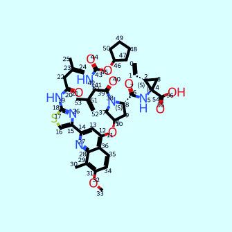 C=C[C@@H]1C[C@]1(NC(=O)[C@@H]1C[C@@H](Oc2cc(-c3csc(NC(=O)CC(=C)C)n3)nc3c(C)c(OC)ccc23)CN1C(=O)[C@@H](NC(=O)OC1CCCC1)C(=C)C)C(=O)O